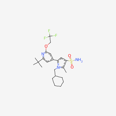 Cc1c(S(N)(=O)=O)cc(-c2cc(OCC(F)(F)F)nc(C(C)(C)C)c2)n1CC1CCCCC1